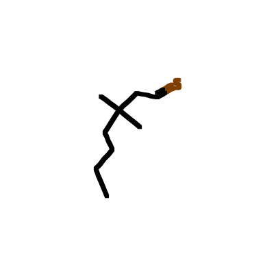 CCCCC(C)(C)CC=S